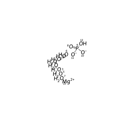 O.O.O.O.O.O.O.O.O=P([O-])([O-])O.[Mg+2]